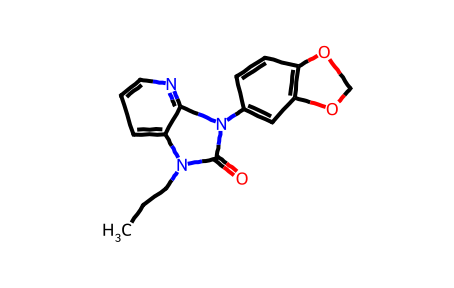 CCCn1c(=O)n(-c2ccc3c(c2)OCO3)c2ncccc21